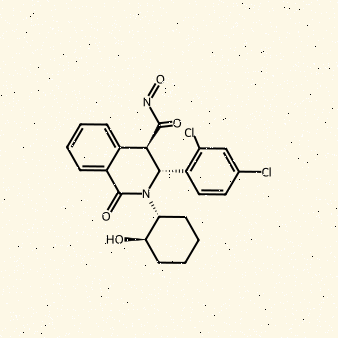 O=NC(=O)[C@@H]1c2ccccc2C(=O)N([C@@H]2CCCC[C@H]2O)[C@H]1c1ccc(Cl)cc1Cl